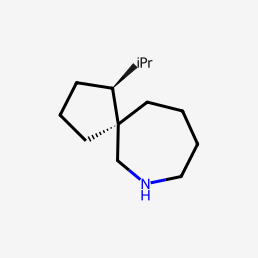 CC(C)[C@@H]1CCC[C@@]12CCCCNC2